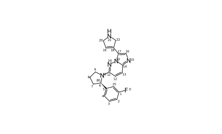 Fc1cccc([C@H]2CCCN2c2ccc3ncc(C4=CCNC4)n3n2)c1